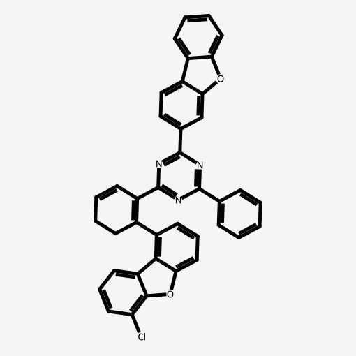 Clc1cccc2c1oc1cccc(C3=C(c4nc(-c5ccccc5)nc(-c5ccc6c(c5)oc5ccccc56)n4)C=CCC3)c12